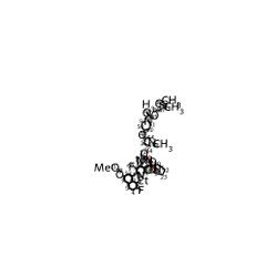 CCc1c(F)ccc2cc(OCOC)cc(-c3ncc4c(N5CC6CCC(C5)N6C(=O)OC(C)(C)C)nc(OC[C@@H]5C[C@@H](OC6CCN(C(=O)OCC[Si](C)(C)C)CC6)CN5C)nc4c3F)c12